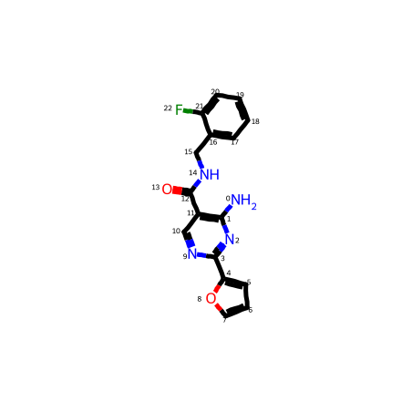 Nc1nc(-c2ccco2)ncc1C(=O)NCc1ccccc1F